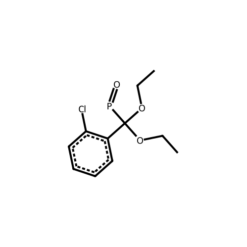 CCOC(OCC)(P=O)c1ccccc1Cl